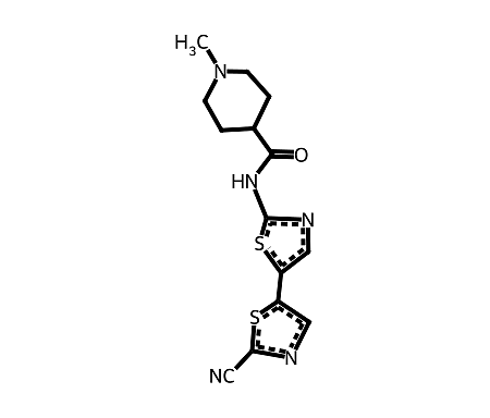 CN1CCC(C(=O)Nc2ncc(-c3cnc(C#N)s3)s2)CC1